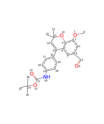 COc1cc(C=O)cc2c1OC(C)(C)C=C2c1ccc(NC(=O)OC(C)(C)C)cc1